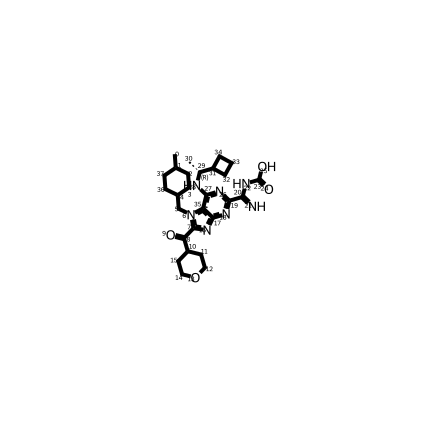 CC1CCC(Cn2c(C(=O)C3CCOCC3)nc3nc(C(=N)NC(=O)O)nc(N[C@H](C)C4CCC4)c32)CC1